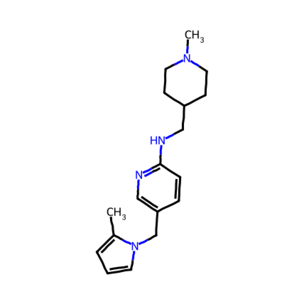 Cc1cccn1Cc1ccc(NCC2CCN(C)CC2)nc1